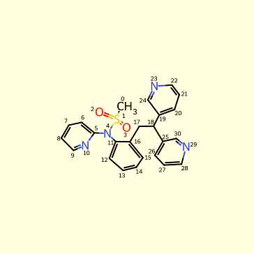 CS(=O)(=O)N(c1ccccn1)c1ccccc1CC(c1cccnc1)c1cccnc1